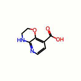 O=C(O)c1ccnc2c1OCCN2